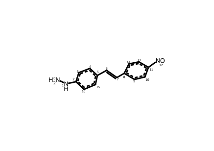 NNc1ccc(/C=C/c2ccc(N=O)cc2)cc1